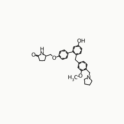 COc1cc(Cc2ccc(O)cc2-c2ccc(OCC3CCC(=O)N3)cc2)ccc1CN1CCCC1